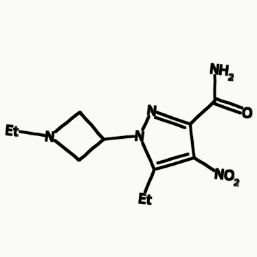 CCc1c([N+](=O)[O-])c(C(N)=O)nn1C1CN(CC)C1